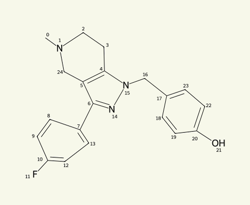 CN1CCc2c(c(-c3ccc(F)cc3)nn2Cc2ccc(O)cc2)C1